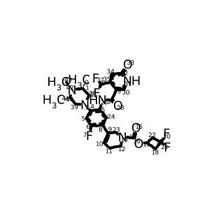 C[C@@H]1CN(c2cc(F)c(C3=CCCN(C(=O)OC4CC(F)(F)C4)C3)cc2NC(=O)c2c[nH]c(=O)cc2C(F)F)C[C@H](C)N1C